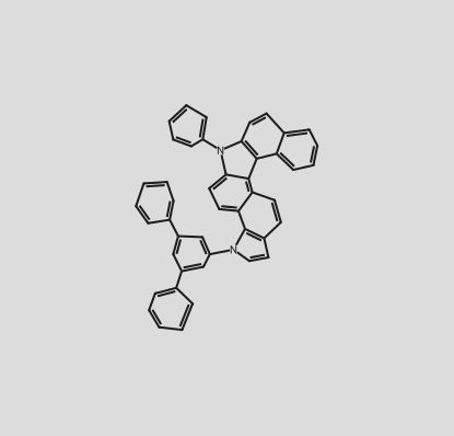 c1ccc(-c2cc(-c3ccccc3)cc(-n3ccc4ccc5c(ccc6c5c5c7ccccc7ccc5n6-c5ccccc5)c43)c2)cc1